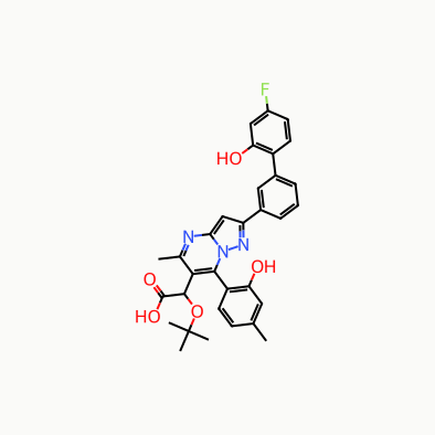 Cc1ccc(-c2c(C(OC(C)(C)C)C(=O)O)c(C)nc3cc(-c4cccc(-c5ccc(F)cc5O)c4)nn23)c(O)c1